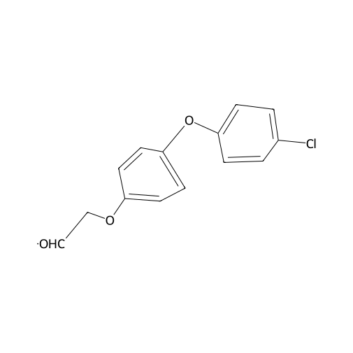 O=[C]COc1ccc(Oc2ccc(Cl)cc2)cc1